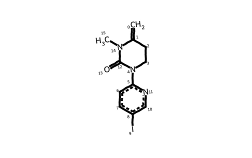 C=C1CCN(c2ccc(I)cn2)C(=O)N1C